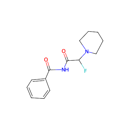 O=C(NC(=O)C(F)N1CCCCC1)c1ccccc1